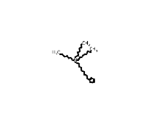 CCCCCCCC[N+](CCCCCCCC)(CCCCCCCC)CCCCCCCCCc1ccccc1